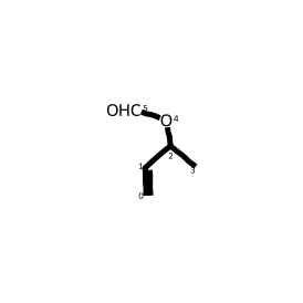 C=CC(C)OC=O